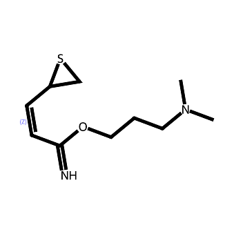 CN(C)CCCOC(=N)/C=C\C1CS1